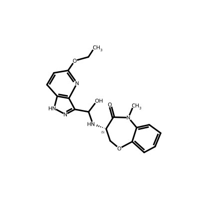 CCOc1ccc2[nH]nc(C(O)N[C@H]3COc4ccccc4N(C)C3=O)c2n1